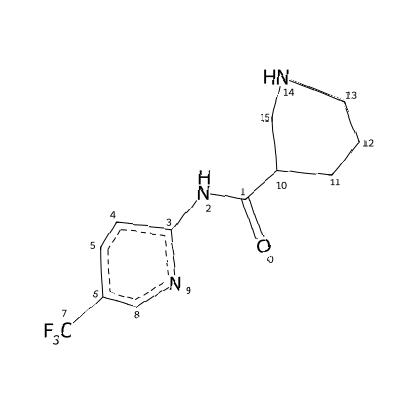 O=C(Nc1ccc(C(F)(F)F)cn1)C1CCCNC1